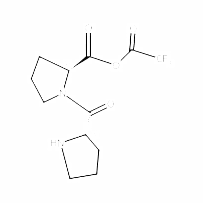 O=C(OC(=O)C(F)(F)F)[C@@H]1CCCN1C(=O)[C@@H]1CCCN1